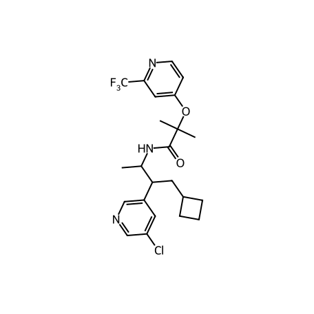 CC(NC(=O)C(C)(C)Oc1ccnc(C(F)(F)F)c1)C(CC1CCC1)c1cncc(Cl)c1